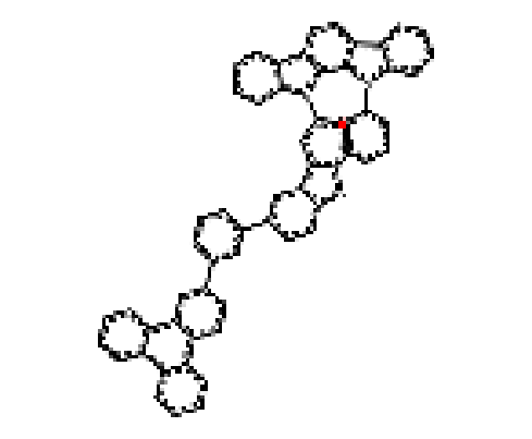 c1ccc(-n2c3ccccc3c3ccc4c5ccccc5n(-c5cc6c(cn5)sc5ccc(-c7cccc(-c8ccc9c%10ccccc%10c%10ccccc%10c9c8)c7)cc56)c4c32)cc1